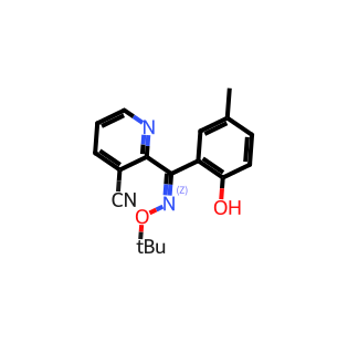 Cc1ccc(O)c(/C(=N/OC(C)(C)C)c2ncccc2C#N)c1